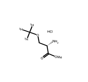 Cl.[2H]C([2H])([2H])OC[C@H](N)C(=O)OC